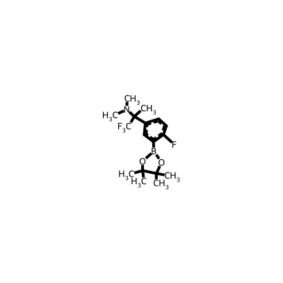 CN(C)C(C)(c1ccc(F)c(B2OC(C)(C)C(C)(C)O2)c1)C(F)(F)F